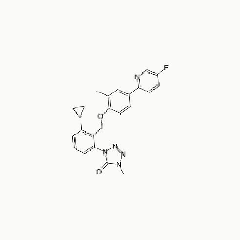 Cc1cc(-c2ccc(F)cn2)ccc1OCc1c(C2CC2)cccc1-n1nnn(C)c1=O